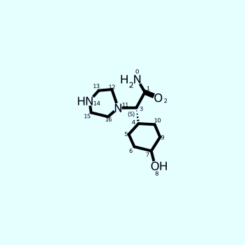 NC(=O)[C@H](C1CCC(O)CC1)N1CCNCC1